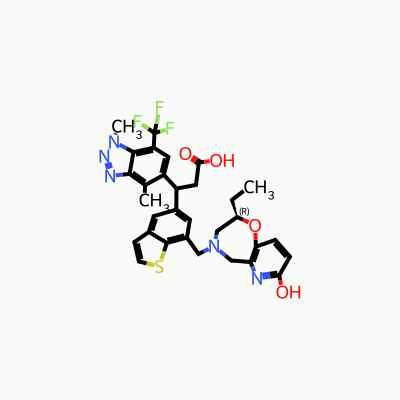 CC[C@@H]1CN(Cc2cc(C(CC(=O)O)c3cc(C(F)(F)F)c4c(nnn4C)c3C)cc3ccsc23)Cc2nc(O)ccc2O1